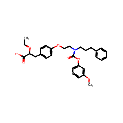 CCOC(Cc1ccc(OCCN(CCCc2ccccc2)C(=O)Oc2cccc(OC)c2)cc1)C(=O)O